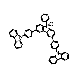 O=P1(c2ccccc2)c2ccc(-c3ccc(-n4c5ccccc5c5ccccc54)cc3)cc2-c2cc(-c3ccc(-n4c5ccccc5c5ccccc54)cc3)ccc21